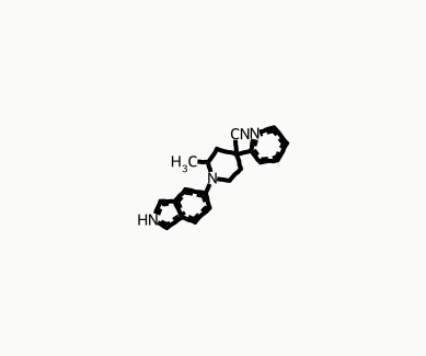 CC1CC(C#N)(c2ccccn2)CCN1c1ccc2c[nH]cc2c1